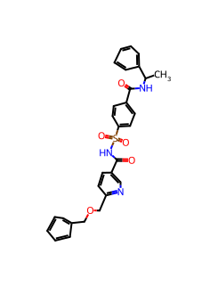 CC(NC(=O)c1ccc(S(=O)(=O)NC(=O)c2ccc(COCc3ccccc3)nc2)cc1)c1ccccc1